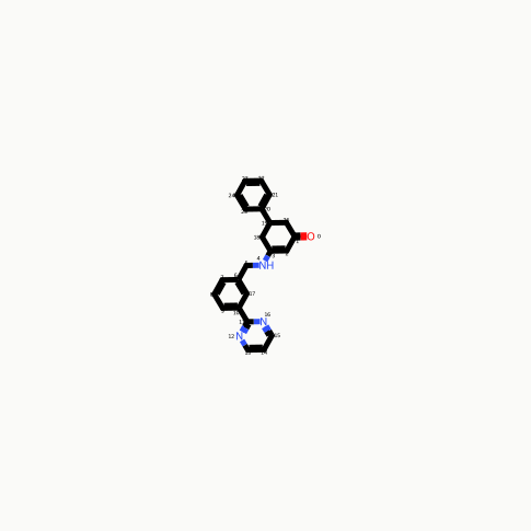 O=C1C=C(NCc2cccc(-c3ncccn3)c2)CC(c2ccccc2)C1